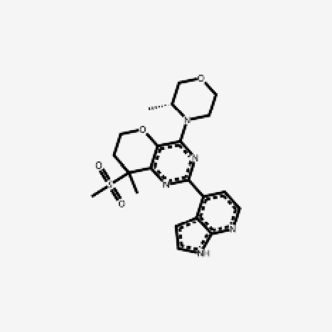 C[C@@H]1COCCN1c1nc(-c2ccnc3[nH]ccc23)nc2c1OCCC2(C)S(C)(=O)=O